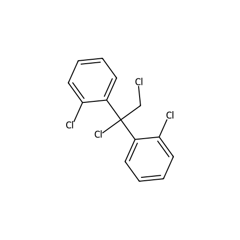 ClCC(Cl)(c1ccccc1Cl)c1ccccc1Cl